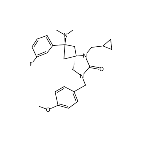 COc1ccc(CN2C[C@]3(C[C@](c4cccc(F)c4)(N(C)C)C3)N(CC3CC3)C2=O)cc1